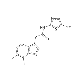 CCc1cnc(NC(=O)Cc2coc3c(C)c(C)ccc23)s1